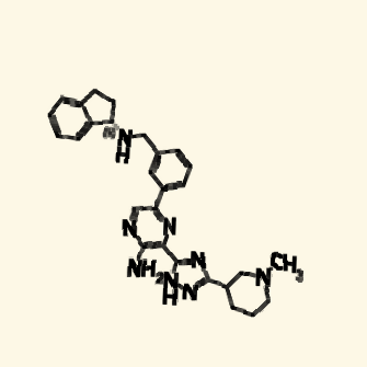 CN1CCCC(c2n[nH]c(-c3nc(-c4cccc(CN[C@H]5CCc6ccccc65)c4)cnc3N)n2)C1